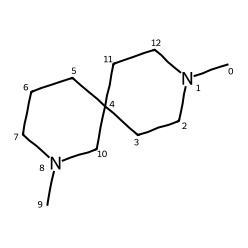 CN1CCC2(CCCN(C)C2)CC1